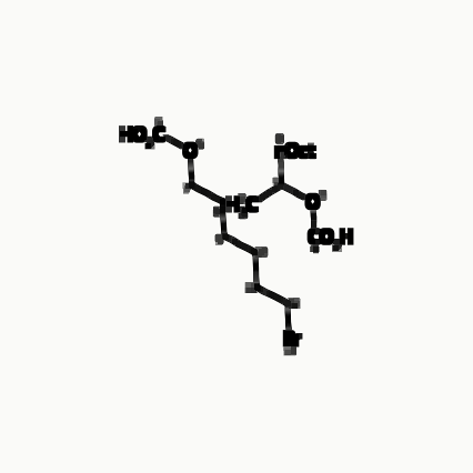 CCCCCCCCC(C)OC(=O)O.O=C(O)OCCCCCCBr